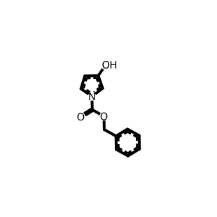 O=C(OCc1ccccc1)n1ccc(O)c1